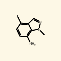 Cn1ncc2c(I)ccc(N)c21